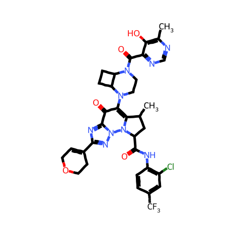 Cc1ncnc(C(=O)N2CCN(c3c4n(n5nc(C6=CCOCC6)nc5c3=O)C(C(=O)Nc3ccc(C(F)(F)F)cc3Cl)CC4C)C3CCC32)c1O